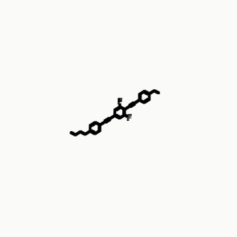 CCCCc1ccc(C#Cc2cc(F)c(C#Cc3ccc(CC)cc3)c(F)c2)cc1